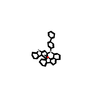 CC1(C)c2ccccc2-c2ccc3cccc(N(c4ccc(-c5ccccc5)cc4)c4ccc5c(c4)sc4ccccc45)c3c21